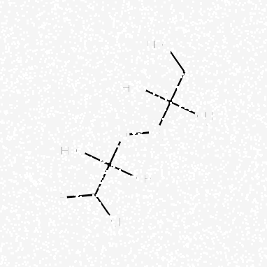 CCC(C)(C)OOC(C)(C)C(C)F